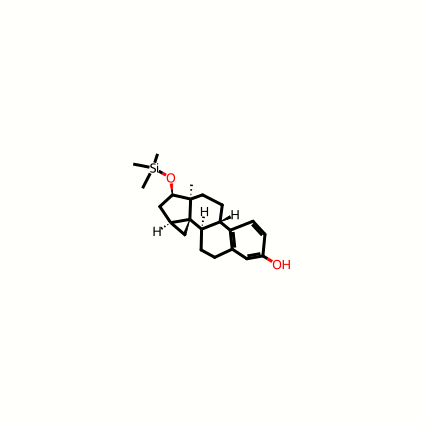 C[C@]12CC[C@@H]3c4ccc(O)cc4CC[C@H]3[C@@]13C[C@H]3C[C@H]2O[Si](C)(C)C